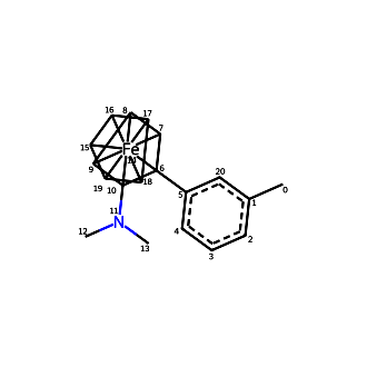 Cc1cccc([C]23[CH]4[CH]5[CH]6[C]2(N(C)C)[Fe]54632789[CH]3[CH]2[CH]7[CH]8[CH]39)c1